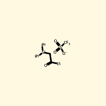 CCC(=O)C[S+](C(C)C)C(C)C.O=S(=O)([O-])C(F)(F)F